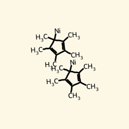 CC1=C(C)[C](C)([Ni])C(C)=C1C.CC1=C(C)[C](C)([Ni])C(C)=C1C